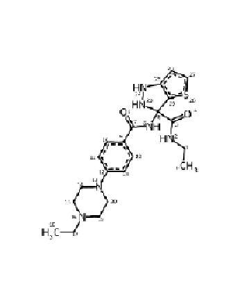 CCNC(=O)C1(NC(=O)c2ccc(N3CCN(CC)CC3)cc2)NNc2ccsc21